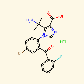 CC(C)(N)c1c(C(=O)O)ncn1-c1ccc(Br)cc1C(=O)c1ccccc1F.Cl